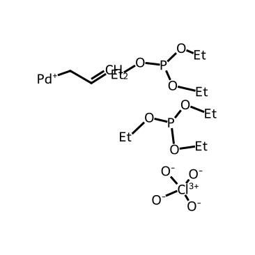 C=C[CH2][Pd+].CCOP(OCC)OCC.CCOP(OCC)OCC.[O-][Cl+3]([O-])([O-])[O-]